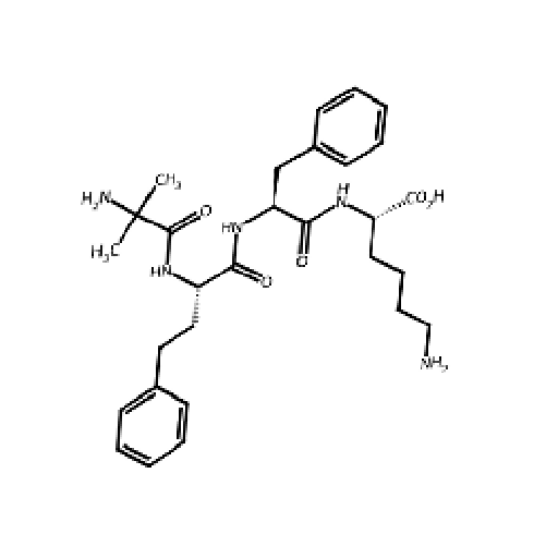 CC(C)(N)C(=O)N[C@@H](CCc1ccccc1)C(=O)N[C@@H](Cc1ccccc1)C(=O)N[C@@H](CCCCN)C(=O)O